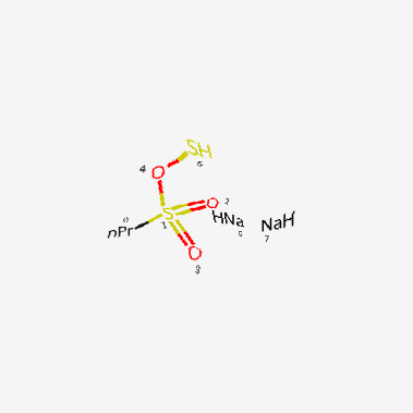 CCCS(=O)(=O)OS.[NaH].[NaH]